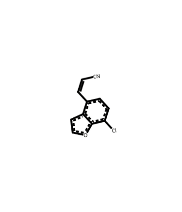 N#C/C=C\c1ccc(Cl)c2occc12